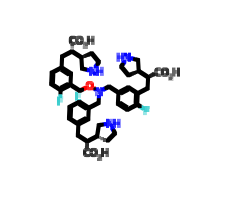 O=C(O)[C@@H](Cc1ccc(F)c(CON(Cc2ccc(F)c(C[C@H](C(=O)O)[C@H]3CCNC3)c2)Cc2cc(C[C@H](C(=O)O)[C@H]3CCNC3)ccc2F)c1)[C@H]1CCNC1